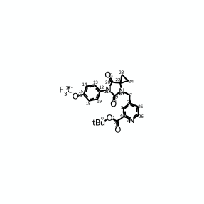 CC(C)(C)OC(=O)c1cc(CN2C(=O)N(c3ccc(OC(F)(F)F)cc3)C(=O)C23CC3)ccn1